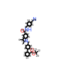 Cc1c(C)n(Cc2ccc(-c3ccccc3C(=O)OC(C)(C)C)cc2)c2ccc(C(=O)NCc3ccc(C#N)cc3)cc12